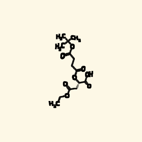 CCOC(=O)C[C@H](OC(=O)CCC(=O)OC(C)(C)C)C(=O)O